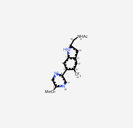 COc1cnc(-c2cc3[nH]c(CNC(C)=O)cc3cc2C(F)(F)F)cn1